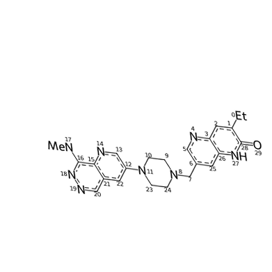 CCc1cc2ncc(CN3CCN(c4cnc5c(NC)nncc5c4)CC3)cc2[nH]c1=O